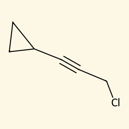 ClCC#CC1CC1